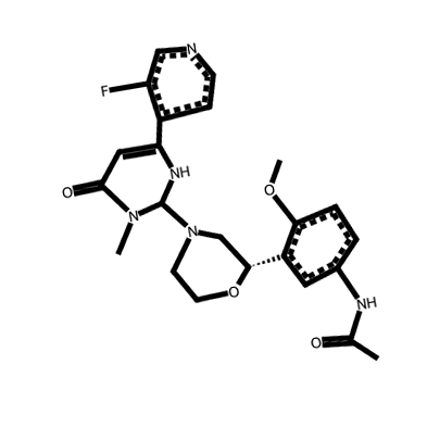 COc1ccc(NC(C)=O)cc1[C@H]1CN(C2NC(c3ccncc3F)=CC(=O)N2C)CCO1